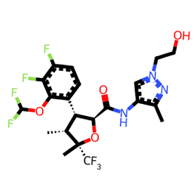 Cc1nn(CCO)cc1NC(=O)[C@H]1O[C@](C)(C(F)(F)F)[C@H](C)[C@@H]1c1ccc(F)c(F)c1OC(F)F